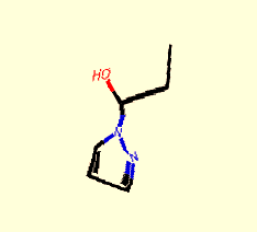 CCC(O)n1cccn1